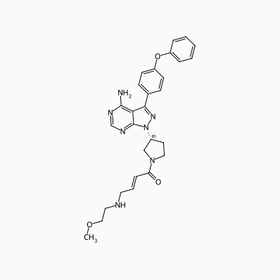 COCCNCC=CC(=O)N1CC[C@@H](n2nc(-c3ccc(Oc4ccccc4)cc3)c3c(N)ncnc32)C1